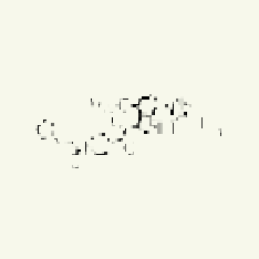 COc1cnc(-n2cnc(C)n2)c2[nH]cc(C(=O)C(=O)N3CCN(C(=O)CCC4CCCC4)CC3)c12